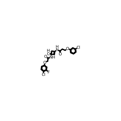 CC1(NC(=O)COc2ccc(Cl)c(F)c2)C=C(NC(=O)CCOc2cccc(Cl)c2)C1